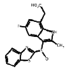 Cc1[nH]c2c(CC(=O)O)cc(F)cc2c1[S+]([O-])c1nc2ccccc2s1